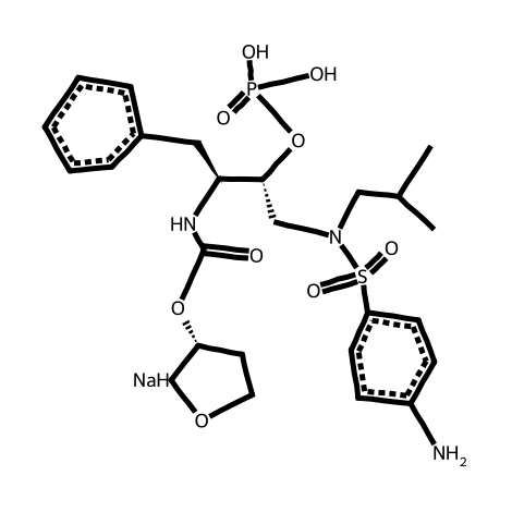 CC(C)CN(C[C@@H](OP(=O)(O)O)[C@H](Cc1ccccc1)NC(=O)O[C@@H]1CCOC1)S(=O)(=O)c1ccc(N)cc1.[NaH]